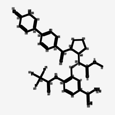 COC(=O)[C@H](Cc1cc(C(=N)N)ccc1OC(=O)C(F)(F)F)C1CCCN1C(=O)c1ccc(-c2ccc(=O)[nH]c2)cc1